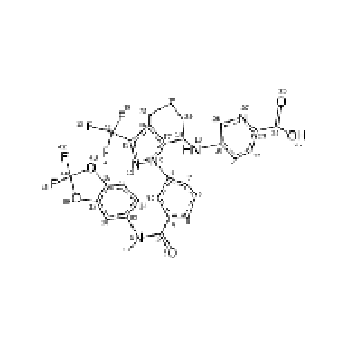 CN(C(=O)c1cccc(-n2nc(C(F)(F)F)c3c2C(Nc2ccc(C(=O)O)nc2)CCC3)c1)c1ccc2c(c1)OC(F)(F)O2